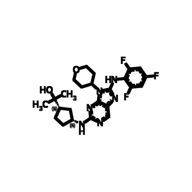 CC(C)(O)[C@H]1CC[C@@H](Nc2ncc3nc(Nc4c(F)cc(F)cc4F)n(C4CCOCC4)c3n2)C1